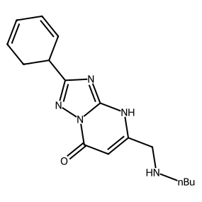 CCCCNCc1cc(=O)n2nc(C3C=CC=CC3)nc2[nH]1